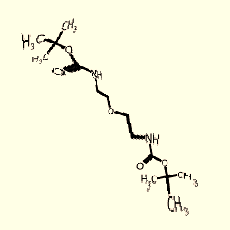 CC(C)(C)OC(=O)NCCOCCNC(=O)OC(C)(C)C